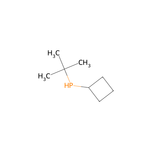 CC(C)(C)PC1CCC1